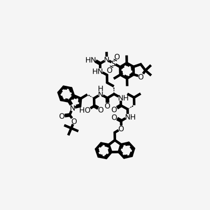 Cc1c(C)c(S(=O)(=O)N(C)C(=N)NCCC[C@H](NC(=O)[C@H](CC(C)C)NC(=O)OCC2c3ccccc3-c3ccccc32)C(=O)N[C@@H](Cc2cn(C(=O)OC(C)(C)C)c3ccccc23)C(=O)O)c(C)c2c1OC(C)(C)C2